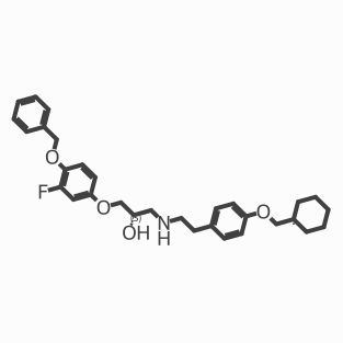 O[C@@H](CNCCc1ccc(OC[C]2CCCCC2)cc1)COc1ccc(OCc2ccccc2)c(F)c1